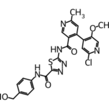 COc1cnc(Cl)cc1-c1cc(C)ncc1C(=O)Nc1nnc(C(=O)Nc2ccc(CO)cc2)s1